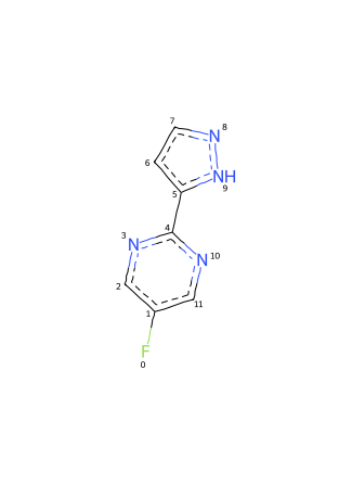 Fc1cnc(-c2ccn[nH]2)nc1